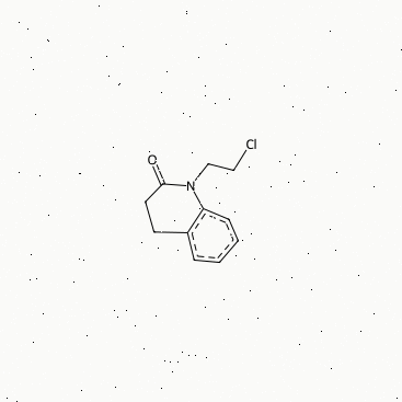 O=C1CCc2ccccc2N1CCCl